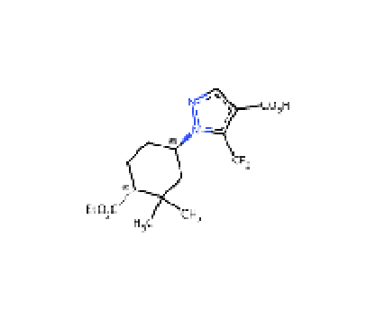 CCOC(=O)[C@@H]1CC[C@@H](n2ncc(C(=O)O)c2C(F)(F)F)CC1(C)C